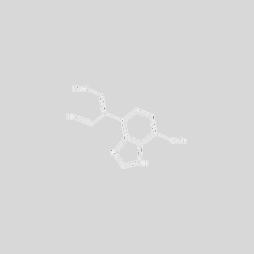 CN/C=C(\C=N)c1ccc(OC)c2[nH]cnc12